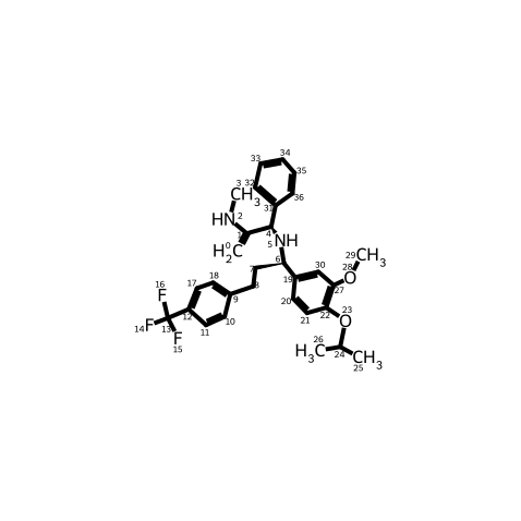 C=C(NC)[C@H](N[C@H](CCc1ccc(C(F)(F)F)cc1)c1ccc(OC(C)C)c(OC)c1)c1ccccc1